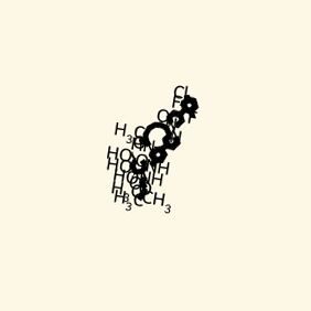 C[C@@H]1CCC[C@H](N2CCC(c3c(F)ccc(Cl)c3F)=CC2=O)c2cc(ccn2)-c2ccc(NC3O[C@H](CO)[C@@H](O)[C@@H](O)[C@H]3NC(=O)OC(C)(C)C)cc2NC1=O